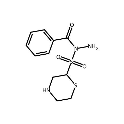 NN(C(=O)c1ccccc1)S(=O)(=O)C1CNCCS1